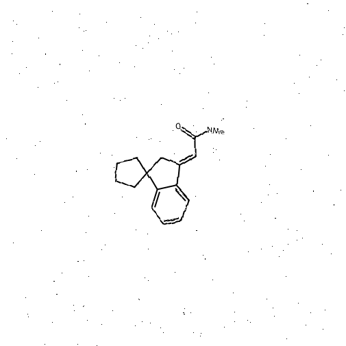 CNC(=O)C=C1CC2(CCCC2)c2ccccc21